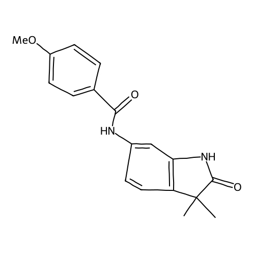 COc1ccc(C(=O)Nc2ccc3c(c2)NC(=O)C3(C)C)cc1